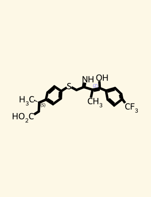 C/C(C(=N)CSc1ccc([C@@H](C)CC(=O)O)cc1)=C(/O)c1ccc(C(F)(F)F)cc1